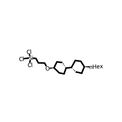 CCCCCC[C@H]1CC[C@H]([C@H]2CC[C@H](OCCC[Si](Cl)(Cl)Cl)CC2)CC1